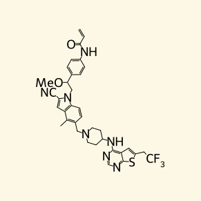 C=CC(=O)Nc1ccc(C(Cn2c(C#N)cc3c(C)c(CN4CCC(Nc5ncnc6sc(CC(F)(F)F)cc56)CC4)ccc32)OC)cc1